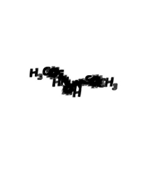 Cc1ccc(SCCNCc2ccccc2CNCCSc2ccc(C)cc2)cc1